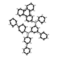 c1ccc(-c2ccc(N(c3ccc(-c4ccccc4)cc3)c3cc(-c4ccccc4)cc(N(c4ccccc4)c4ccc5c6ccccc6c6ccccc6c5c4)c3)cc2)cc1